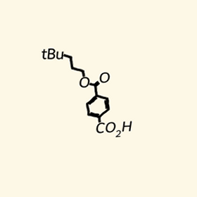 CC(C)(C)CCCOC(=O)c1ccc(C(=O)O)cc1